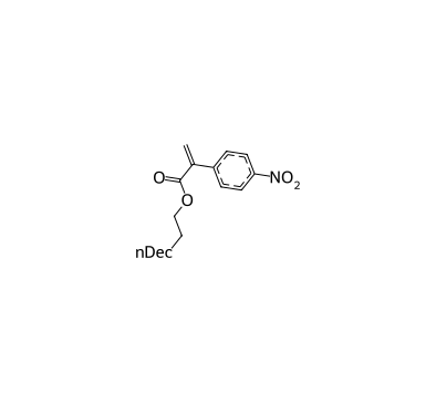 C=C(C(=O)OCCCCCCCCCCCC)c1ccc([N+](=O)[O-])cc1